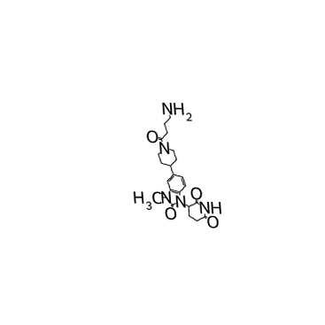 Cn1c(=O)n(C2CCC(=O)NC2=O)c2ccc(C3CCN(C(=O)CCCN)CC3)cc21